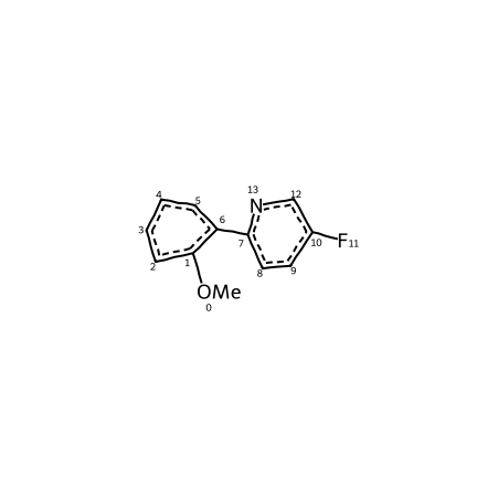 COc1ccccc1-c1ccc(F)cn1